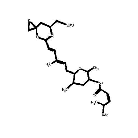 CC(=O)OC(C)/C=C\C(=O)NC1CC(C)C(C/C=C(C)/C=C/C2O[C@H](CC=O)CC3(CO3)O2)OC1C